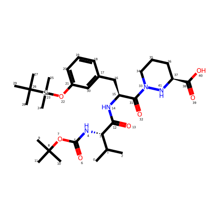 CC(C)[C@H](NC(=O)OC(C)(C)C)C(=O)N[C@@H](Cc1cccc(O[Si](C)(C)C(C)(C)C)c1)C(=O)N1CCC[C@@H](C(=O)O)N1